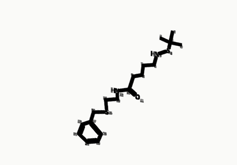 CC(C)(C)SNCCCCC(=O)NCCSCc1ccccc1